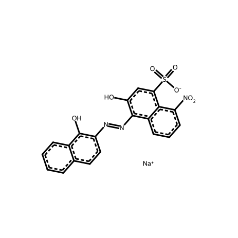 O=[N+]([O-])c1cccc2c(N=Nc3ccc4ccccc4c3O)c(O)cc(S(=O)(=O)[O-])c12.[Na+]